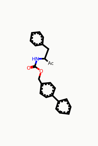 CC(=O)C(Cc1ccccc1)NC(=O)OCc1ccc(-c2ccccc2)cc1